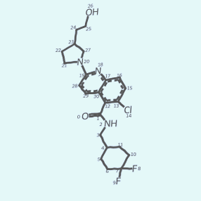 O=C(NCC1CCC(F)(F)CC1)c1c(Cl)ccc2nc(N3CCC(CCO)C3)ccc12